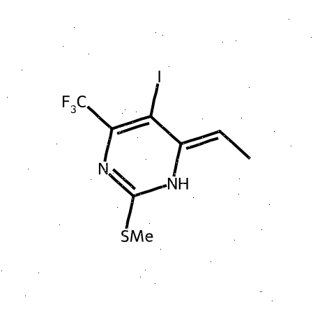 CC=C1NC(SC)=NC(C(F)(F)F)=C1I